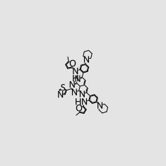 Cc1ccc(Nc2cc(N3CCCCC3)ccc2C2=CC3=CC(c4ccc(N5CCCCC5)cc4Nc4ccc(C)o4)=NC4=NC(c5cncs5)=NC(=N2)C34)o1